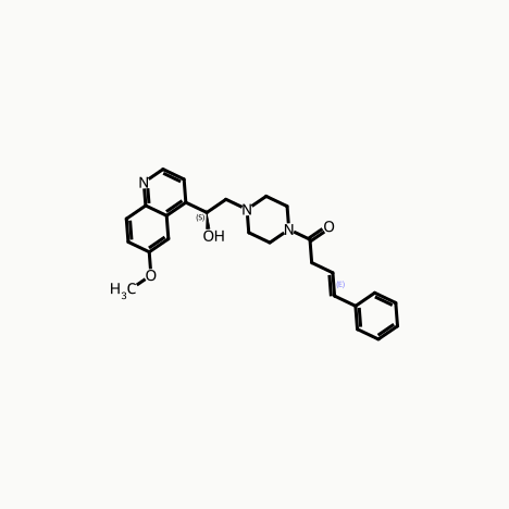 COc1ccc2nccc([C@H](O)CN3CCN(C(=O)C/C=C/c4ccccc4)CC3)c2c1